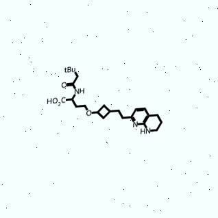 CC(C)(C)CC(=O)NC(CCOC1CC(CCc2ccc3c(n2)NCCC3)C1)C(=O)O